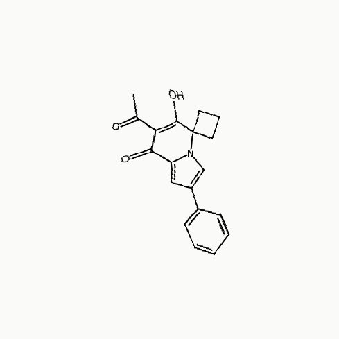 CC(=O)C1=C(O)C2(CCC2)n2cc(-c3ccccc3)cc2C1=O